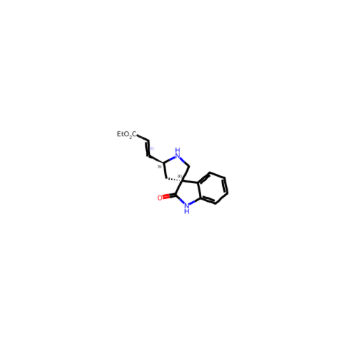 CCOC(=O)/C=C/[C@@H]1C[C@@]2(CN1)C(=O)Nc1ccccc12